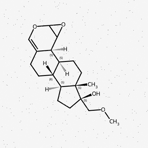 COC[C@]1(O)CC[C@H]2[C@@H]3CCC4=COC5OC5[C@H]4[C@H]3[CH]C[C@@]21C